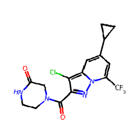 O=C1CN(C(=O)c2nn3c(C(F)(F)F)cc(C4CC4)cc3c2Cl)CCN1